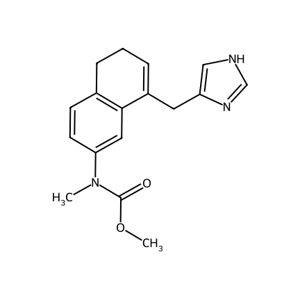 COC(=O)N(C)c1ccc2c(c1)C(Cc1c[nH]cn1)=CCC2